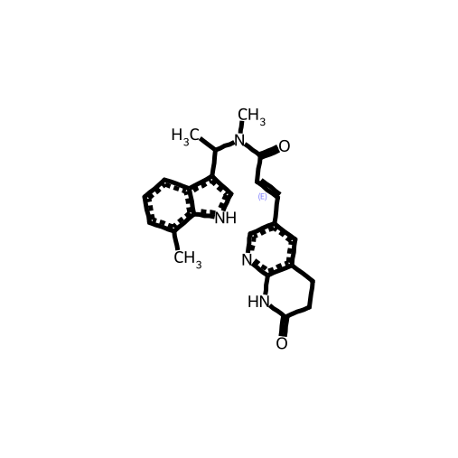 Cc1cccc2c(C(C)N(C)C(=O)/C=C/c3cnc4c(c3)CCC(=O)N4)c[nH]c12